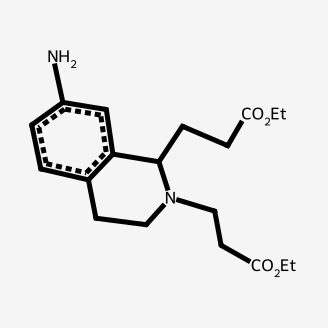 CCOC(=O)CCC1c2cc(N)ccc2CCN1CCC(=O)OCC